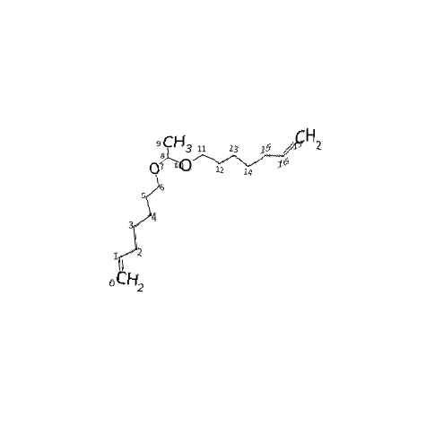 C=CCCCCCOC(C)OCCCCCC=C